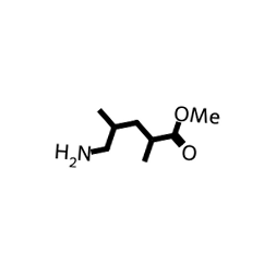 COC(=O)C(C)CC(C)CN